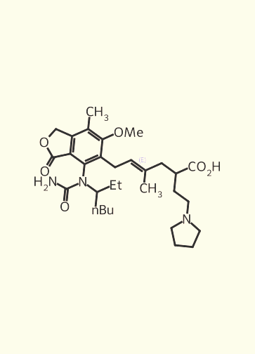 CCCCC(CC)N(C(N)=O)c1c(C/C=C(\C)CC(CCN2CCCC2)C(=O)O)c(OC)c(C)c2c1C(=O)OC2